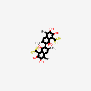 Cc1cc2c(C(C)C)c(O)c(O)c(C(S)S)c2c(O)c1-c1c(C)cc2c(C(C)C)c(O)c(O)c(C(S)S)c2c1O